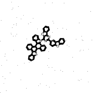 c1ccc2c(c1)oc1ccc(-c3nc(-n4c5ccccc5c5c6c7ccccc7c7c8ccccc8sc7c6c6ccccc6c54)c4oc5ccccc5c4n3)cc12